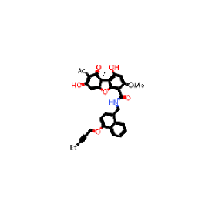 CCC#CCOc1ccc(CNC(=O)c2c(OC)cc(O)c3c2OC2=CC(O)=C(C(C)=O)C(=O)[C@]23C)c2ccccc12